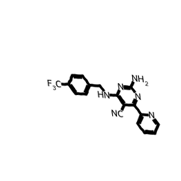 N#Cc1c(NCc2ccc(C(F)(F)F)cc2)nc(N)nc1-c1ccccn1